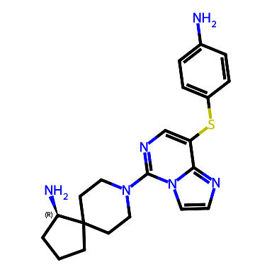 Nc1ccc(Sc2cnc(N3CCC4(CCC[C@H]4N)CC3)n3ccnc23)cc1